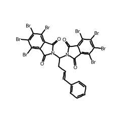 O=C1c2c(Br)c(Br)c(Br)c(Br)c2C(=O)N1C(CC=Cc1ccccc1)N1C(=O)c2c(Br)c(Br)c(Br)c(Br)c2C1=O